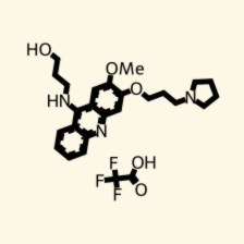 COc1cc2c(NCCCO)c3ccccc3nc2cc1OCCCN1CCCC1.O=C(O)C(F)(F)F